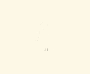 CCCCCCCCCC(Oc1ccccc1)C(=O)Cl